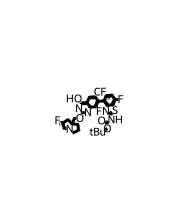 CC(C)(C)OC(=O)Nc1nc2c(-c3c(C(F)(F)F)cc4c(O)nc(OCC56CCCN5C[C@H](F)C6)nc4c3F)ccc(F)c2s1